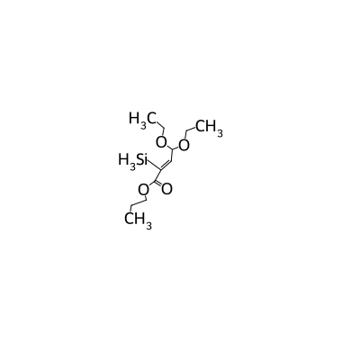 CCCOC(=O)C([SiH3])=CC(OCC)OCC